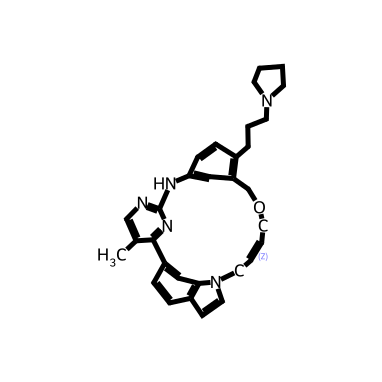 Cc1cnc2nc1-c1ccc3ccn(c3c1)C/C=C\COCc1cc(ccc1CCCN1CCCC1)N2